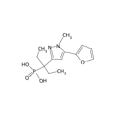 CCC(CC)(c1cc(-c2ccco2)n(C)n1)P(=O)(O)O